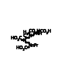 CCCN(CCN(CC(=O)O)C(C)CN(CCNCC(=O)O)CC(=O)O)CC(=O)O